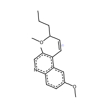 CCCC(/C=C\c1c(C)cnc2ccc(OC)cc12)OC